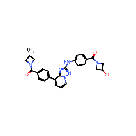 CC1CN(C(=O)c2ccc(-c3cccn4nc(Nc5ccc(C(=O)N6CC(O)C6)cc5)nc34)cc2)C1